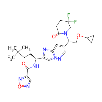 CC(C)(CC[C@H](NC(=O)c1cnon1)c1cn2ncc([C@@H](COC3CC3)N3CC(F)(F)CCC3=O)cc2n1)C(F)(F)F